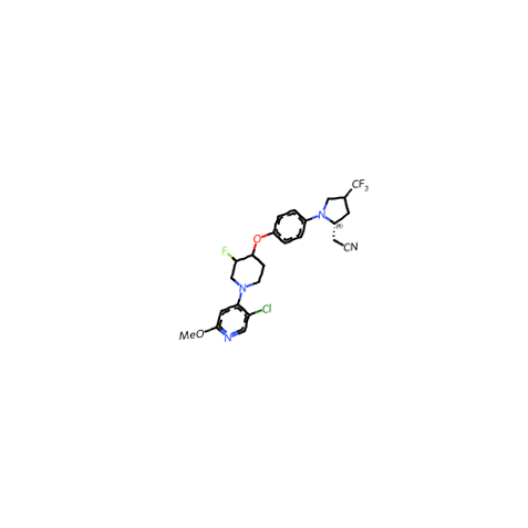 COc1cc(N2CCC(Oc3ccc(N4CC(C(F)(F)F)C[C@@H]4CC#N)cc3)C(F)C2)c(Cl)cn1